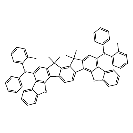 Cc1ccccc1N(c1ccccc1)c1cc2c(c3oc4ccccc4c13)-c1ccc3c(c1C2(C)C)C(C)(C)c1cc(N(c2ccccc2)c2ccccc2C)c2c(oc4ccccc42)c1-3